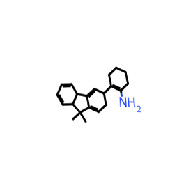 CC1(C)C2=CCC(C3=C(N)CCCC3)C=C2C2C=CC=CC21